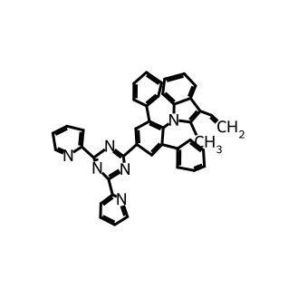 C=Cc1c(C)n(-c2c(-c3ccccc3)cc(-c3nc(-c4ccccn4)nc(-c4ccccn4)n3)cc2-c2ccccc2)c2ccccc12